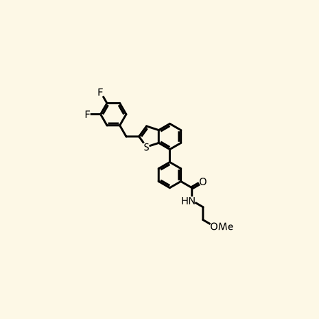 COCCNC(=O)c1cccc(-c2cccc3cc(Cc4ccc(F)c(F)c4)sc23)c1